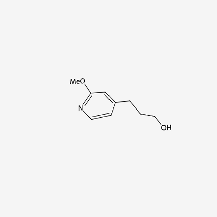 COc1cc(CCCO)ccn1